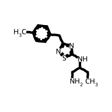 CCC(CN)Nc1nc(Cc2ccc(C)cc2)ns1